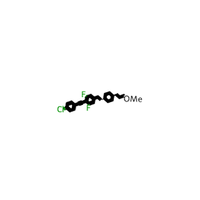 COCCC[C@H]1CC[C@H](CCc2cc(F)c(C#Cc3ccc(Cl)cc3)c(F)c2)CC1